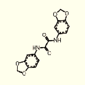 O=C(Nc1ccc2c(c1)OCO2)C(=O)Nc1ccc2c(c1)OCO2